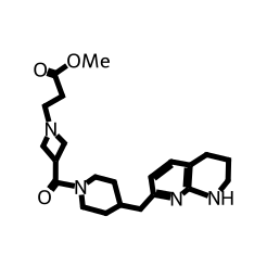 COC(=O)CCN1CC(C(=O)N2CCC(Cc3ccc4c(n3)NCCC4)CC2)C1